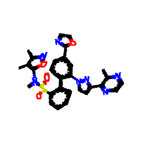 Cc1nccnc1-c1ccn(-c2cc(-c3ncco3)ccc2-c2ccccc2S(=O)(=O)N(C)c2onc(C)c2C)n1